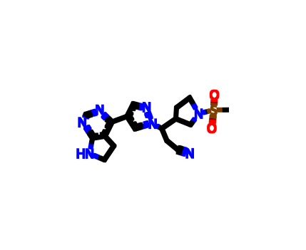 CS(=O)(=O)N1CCC(C(CC#N)n2cc(-c3ncnc4c3CCN4)cn2)C1